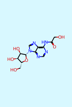 O=C(CO)Nc1ncnc2c1ncn2[C@@H]1O[C@H](CO)[C@@H](O)[C@H]1O